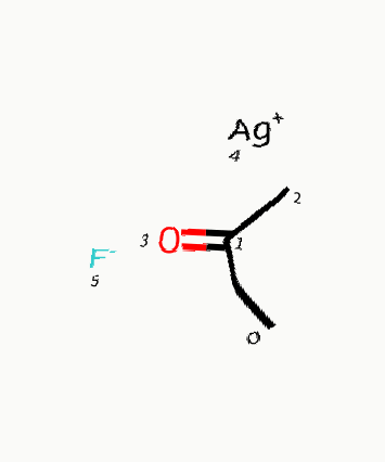 CC(C)=O.[Ag+].[F-]